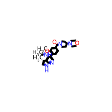 COc1cc(C(=O)N2CCC(N3CCOCC3)CC2)ccc1-c1cnc2[nH]ccc2c1NC(C)C